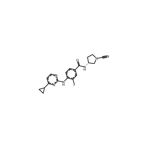 N#CN1CC[C@@H](NC(=O)c2ccc(Nc3nccc(C4CC4)n3)c(F)c2)C1